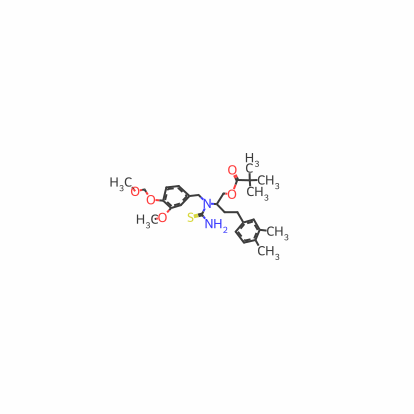 COCOc1ccc(CN(C(N)=S)C(CCc2ccc(C)c(C)c2)COC(=O)C(C)(C)C)cc1OC